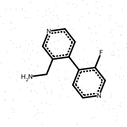 NCc1cnccc1-c1ccncc1F